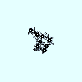 COc1cc(NC(=O)Nc2cccc(F)c2O)cc(OC)c1OC.COc1cccc(NC(=O)Nc2cccc(F)c2O)c1.Cc1cccc(C)c1NC(=O)Nc1cccc(F)c1O.Cc1ccccc1NC(=O)Nc1cccc(F)c1O